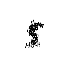 CCNC(=O)c1noc(-c2cc(C(C)C)c(O)cc2O)c1-c1ccc(CN2CCN(C(=O)N(c3nccc(-c4cccnc4)n3)c3cc(NC(=O)c4ccc(CN5CCN(C)CC5)cc4)ccc3C)CC2)cc1